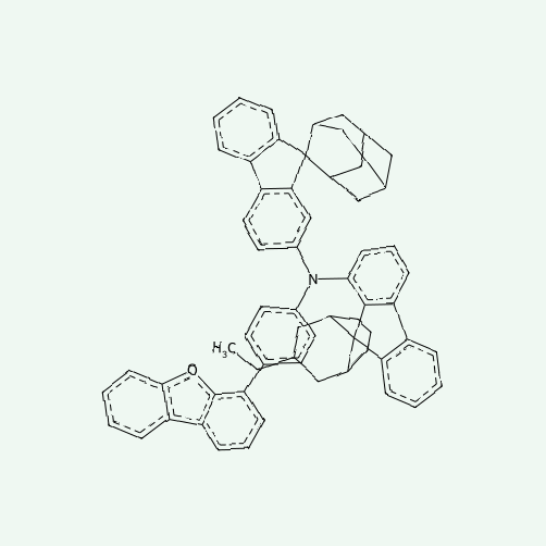 CCC1CC2CCCC(C1)C21c2ccccc2-c2cccc(N(c3ccc(-c4cccc5c4oc4ccccc45)cc3)c3ccc4c(c3)C3(c5ccccc5-4)C4CC5CC(C4)CC3C5)c21